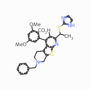 COc1cc(OC)cc(-c2c(C(=O)O)c(C(C)Sc3ncc[nH]3)nc3sc4c(c23)CCN(Cc2ccccc2)C4)c1